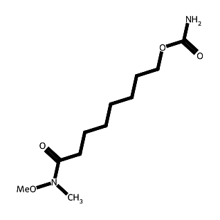 CON(C)C(=O)CCCCCCCOC(N)=O